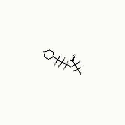 O=C(F)C(F)(OC(F)(F)C(F)(F)C(F)(F)N1CCOCC1)C(F)(F)F